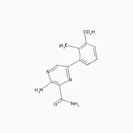 Cc1c(C(=O)O)cccc1-c1cnc(N)c(C(N)=O)n1